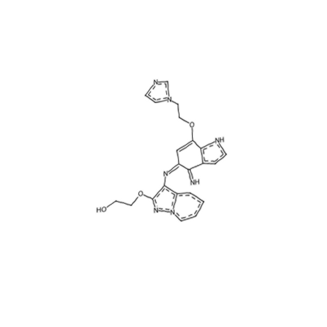 N=C1/C(=N\c2c(OCCO)nn3ccccc23)C=C(OCCn2ccnc2)c2[nH]ccc21